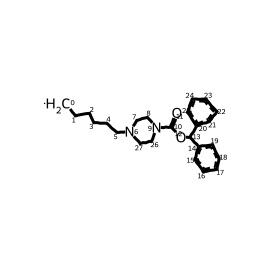 [CH2]CCCCCN1CCN(C(=O)OC(c2ccccc2)c2ccccc2)CC1